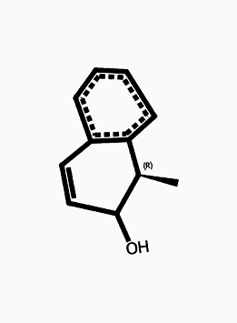 C[C@@H]1c2ccccc2C=CC1O